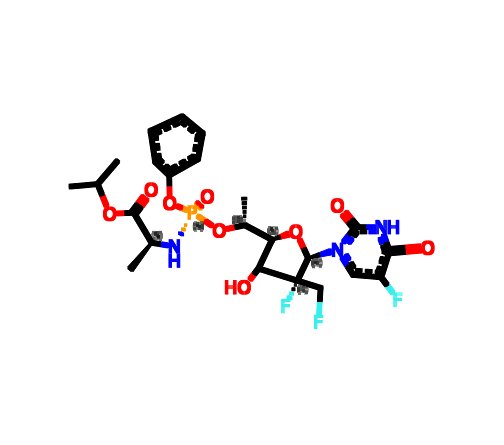 CC(C)OC(=O)[C@H](C)N[P@@](=O)(Oc1ccccc1)O[C@H](C)[C@H]1O[C@@H](n2cc(F)c(=O)[nH]c2=O)[C@@](F)(CF)C1O